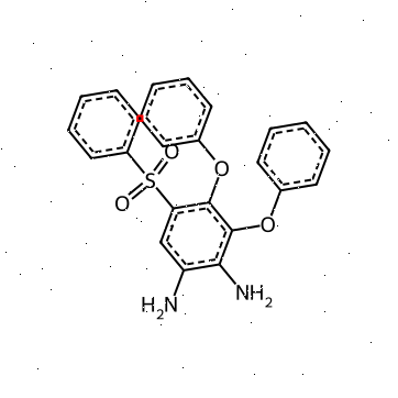 Nc1cc(S(=O)(=O)c2ccccc2)c(Oc2ccccc2)c(Oc2ccccc2)c1N